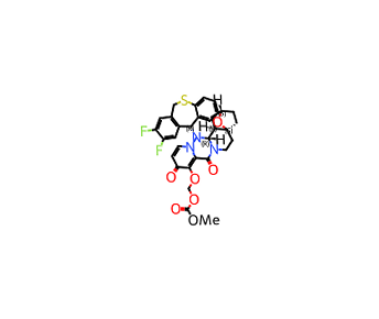 COC(=O)OCOc1c2n(ccc1=O)N([C@@H]1c3cc(F)c(F)cc3CSc3ccccc31)[C@@H]1[C@H]3C[C@@H]4CC[C@@]3(CCN1C2=O)O4